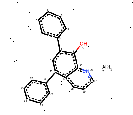 Oc1c(-c2ccccc2)cc(-c2ccccc2)c2cccnc12.[AlH3]